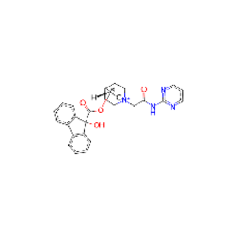 O=C(C[N+]12CCC(CC1)[C@@H](OC(=O)C1(O)c3ccccc3-c3ccccc31)C2)Nc1ncccn1